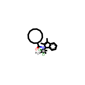 CC1=C(C)[CH]([Ti]([CH3])([CH3])([SiH3])([Cl])([Cl])[NH]C(=O)C2CCCCCCCCCCC2)c2ccccc21